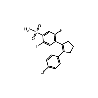 NS(=O)(=O)c1cc(F)c(C2=C(c3ccc(Cl)cc3)CCC2)cc1F